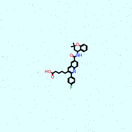 CC1(C)CC(NC(=O)c2ccc3nc(-c4ccc(F)cc4)c(CCCCC(=O)O)cc3c2)c2ccccc2O1